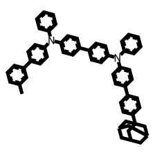 Cc1cccc(-c2ccc(N(c3ccccc3)c3ccc(-c4ccc(N(c5ccccc5)c5ccc(-c6ccc(C78CC9CC(CC(C9)C7)C8)cc6)cc5)cc4)cc3)cc2)c1